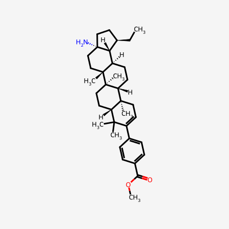 CC[C@@H]1CC[C@]2(N)CC[C@]3(C)[C@H](CC[C@@H]4[C@@]5(C)CC=C(c6ccc(C(=O)OC)cc6)C(C)(C)[C@@H]5CC[C@]43C)[C@@H]12